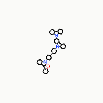 c1ccc2c(c1)oc1c2c2ccccc2n1-c1ccc(-c2ccc(-n3c4ccccc4c4cc(-n5c6ccccc6c6ccccc65)ccc43)cc2)cc1